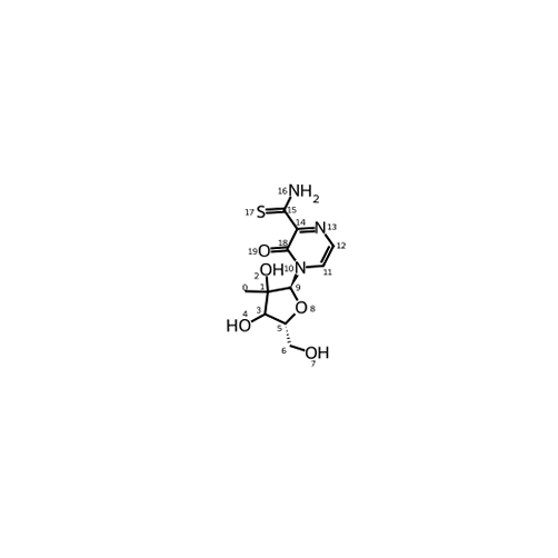 CC1(O)C(O)[C@@H](CO)O[C@@H]1n1ccnc(C(N)=S)c1=O